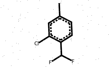 [CH2]c1ccc([C](F)F)c(Cl)c1